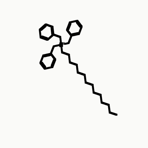 CCCCCCCCCCCCCC[N+](Cc1ccccc1)(Cc1ccccc1)Cc1ccccc1